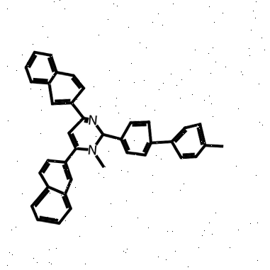 Cc1ccc(-c2ccc(C3N=C(c4ccc5ccccc5c4)C=C(c4ccc5ccccc5c4)N3C)cc2)cc1